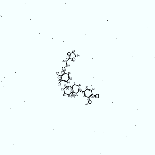 COc1cc(N2CCN3[C@@H](CCC[C@@H]3c3ccc(OCCC4OCCO4)c(C)c3C)C2)ccc1Cl